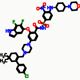 CC1(C)CCC(CN2CCN(c3ccc(C(=O)NS(=O)(=O)c4ccc(N[C@H]5CC[C@H](N6CCOCC6)CC5)c([N+](=O)[O-])c4)c(Oc4cc5cc[nH]c5c(F)c4F)c3)CC2)=C(c2ccc(Cl)cc2)C1